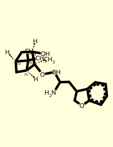 CC1(C)[C@@H]2C[C@@H](O)[C@@](C)(OBC(N)CC3COc4ccccc43)[C@H]1C2